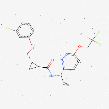 CC(NC(=O)[C@H]1C[C@@H]1COc1cccc(F)c1)c1ccc(OCC(F)(F)F)cn1